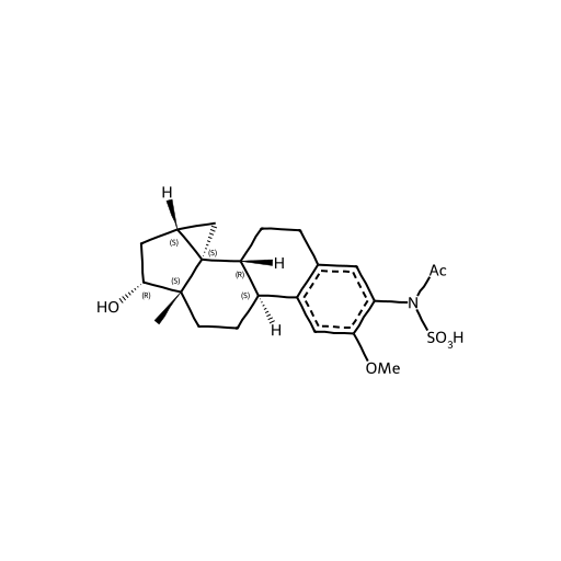 COc1cc2c(cc1N(C(C)=O)S(=O)(=O)O)CC[C@@H]1[C@@H]2CC[C@]2(C)[C@H](O)C[C@@H]3C[C@]312